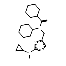 CCN(c1nc(CN(C(=O)C2CCCCC2)C2CCCCC2)cs1)C1CC1